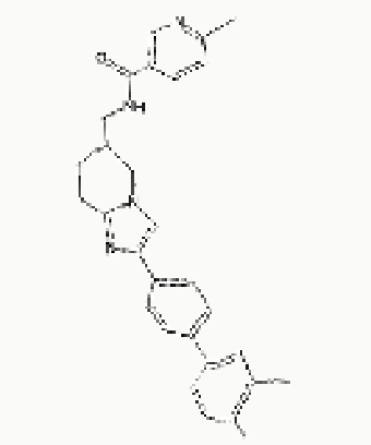 Cc1ccc(C(=O)NCC2CCc3nc(-c4ccc(-c5ccc(C)c(C)c5)cc4)cn3C2)cn1